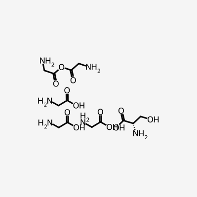 NCC(=O)O.NCC(=O)O.NCC(=O)O.NCC(=O)OC(=O)CN.N[C@@H](CO)C(=O)O